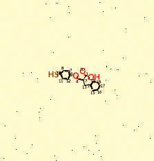 O=C(O)C(=COc1ccc(S)cc1)Cc1ccccc1